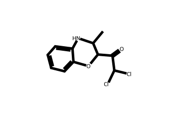 CC1Nc2ccccc2OC1C(=O)C(Cl)Cl